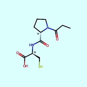 CCC(=O)N1CCC[C@H]1C(=O)N[C@@H](CS)C(=O)O